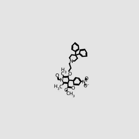 COC(=O)C1=C(C)N(C=O)C(C)=C(OCCCN2CCC(c3ccccc3)(c3ccccc3)CC2)C1c1ccc([N+](=O)[O-])cc1